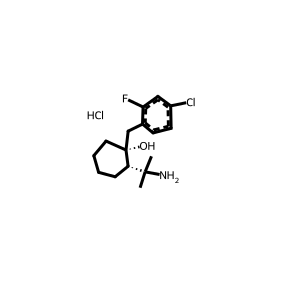 CC(C)(N)[C@@H]1CCCC[C@@]1(O)Cc1ccc(Cl)cc1F.Cl